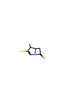 CC1C(S)=CN2C(=O)CC12